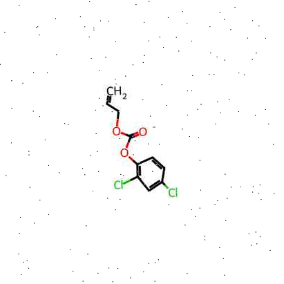 C=CCOC(=O)Oc1ccc(Cl)cc1Cl